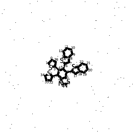 c1csc(-c2c(-c3cc4ccccc4s3)c(-c3cc4ccccc4s3)c3snnc3c2-c2cccs2)c1